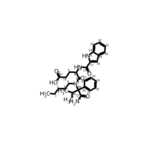 CCCCCN(C(=O)C(CCC(=O)O)NC(=O)c1cc2ccccc2[nH]1)C(C(N)=O)(c1ccccc1)C(C)C